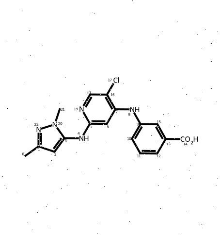 Cc1cc(Nc2cc(Nc3cccc(C(=O)O)c3)c(Cl)cn2)n(C)n1